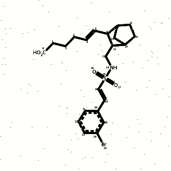 O=C(O)CCC/C=C/C1C2CCC(C2)C1CNS(=O)(=O)/C=C/c1cccc(Br)c1